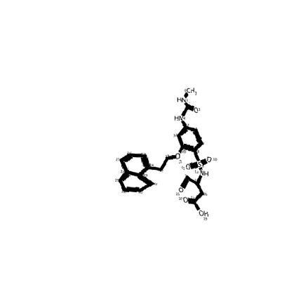 CNC(=O)Nc1ccc(S(=O)(=O)NC(C=O)CC(=O)O)c(OCCc2cccc3ccccc23)c1